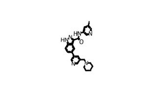 Cc1cncc(NC(=O)c2n[nH]c3ccc(-c4cncc(CN5CCCCC5)c4)cc23)c1